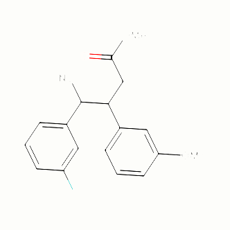 COC(=O)CC(c1cccc(OC)c1)C(C#N)c1cccc(F)c1